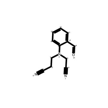 N#CCCN(CC#N)c1ccccc1C=O